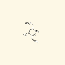 C=CC(=O)N(C)CC(C)CS(=O)(=O)O